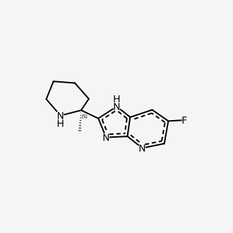 C[C@@]1(c2nc3ncc(F)cc3[nH]2)CCCCN1